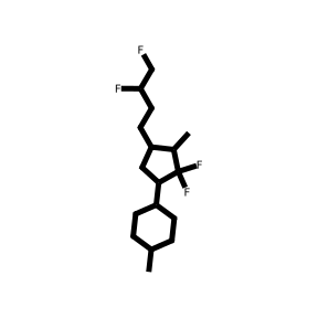 CC1CCC(C2CC(CCC(F)CF)C(C)C2(F)F)CC1